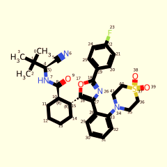 CC(C)(C)[C@@H](C#N)NC(=O)[C@@H]1CCCC[C@H]1c1oc(-c2ccc(F)cc2)nc1-c1ccccc1N1CCS(=O)(=O)CC1